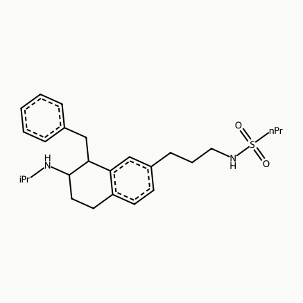 CCCS(=O)(=O)NCCCc1ccc2c(c1)C(Cc1ccccc1)C(NC(C)C)CC2